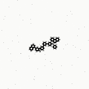 c1ccc(N(c2ccc(-c3cccc(-c4ccc5sc6ccc(-c7cccc8ccccc78)cc6c5c4)c3)cc2)c2cc3ccccc3c3ccccc23)cc1